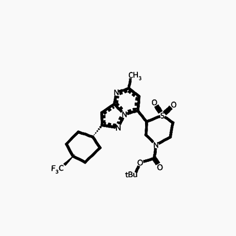 Cc1cc(C2CN(C(=O)OC(C)(C)C)CCS2(=O)=O)n2nc([C@H]3CC[C@H](C(F)(F)F)CC3)cc2n1